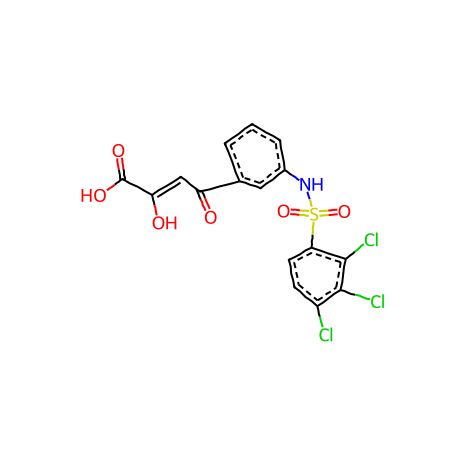 O=C(O)C(O)=CC(=O)c1cccc(NS(=O)(=O)c2ccc(Cl)c(Cl)c2Cl)c1